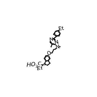 CCc1ccc(-c2ncc(C)c(N(C)CCCOc3ccc4c(c3)CC[C@H]4C(CC)C(=O)O)n2)cc1